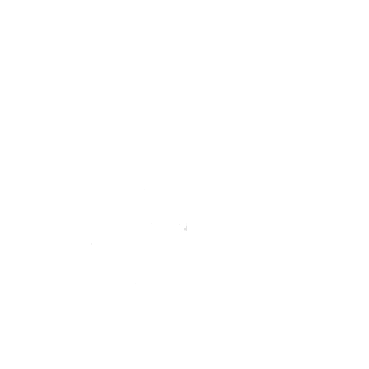 Cc1ccc(C2=C(c3ccccc3)C(c3ccccc3)=C(c3ccc(C)s3)[Si]2(C)C)s1